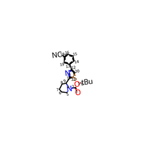 CC(C)(C)OC(=O)N1CCCCC1c1nc(-c2cccc(C#N)c2)cs1